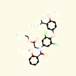 CCOC(=O)CN(C(=O)c1ccccc1OC)c1cc(Br)c(Oc2ccc(OC)c(C(C)C)c2)c(Br)c1